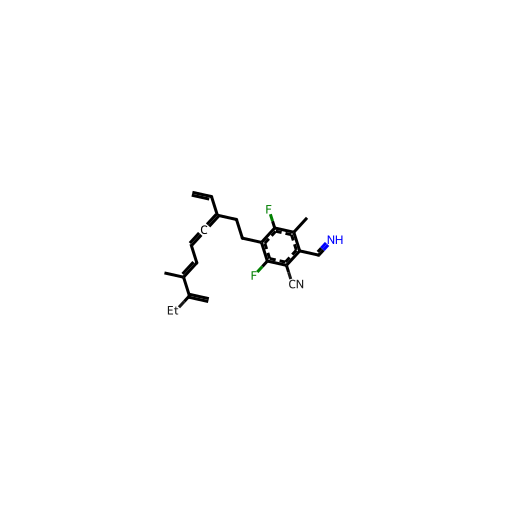 C=CC(=C=C/C=C(\C)C(=C)CC)CCc1c(F)c(C)c(C=N)c(C#N)c1F